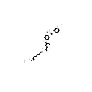 O=C(CCCCCCNC(=O)c1cc(Oc2ccc(NC(=O)Nc3ccc(Cl)c(C(F)(F)F)c3)cc2)ccn1)NO